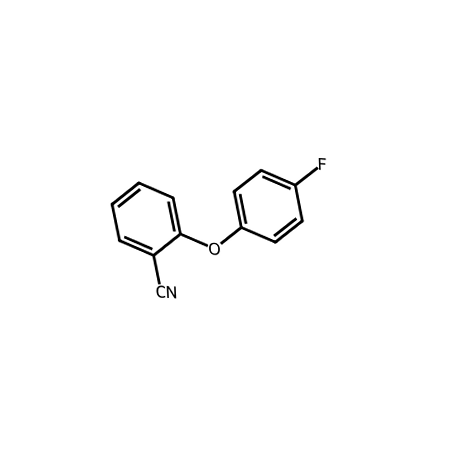 N#Cc1ccccc1Oc1ccc(F)cc1